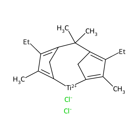 CCC1=C2C[C](=C1C)[Ti+2][C]1=C(C)C(CC)=C(C1)C2(C)C.[Cl-].[Cl-]